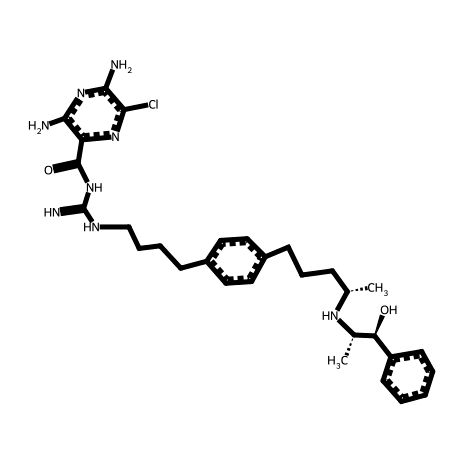 C[C@H](N[C@@H](C)CCCc1ccc(CCCCNC(=N)NC(=O)c2nc(Cl)c(N)nc2N)cc1)[C@@H](O)c1ccccc1